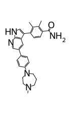 Cc1c(C(N)=O)ccc(-c2c[nH]c3ncc(-c4ccc(N5CCCN(C)CC5)cc4)cc23)c1C